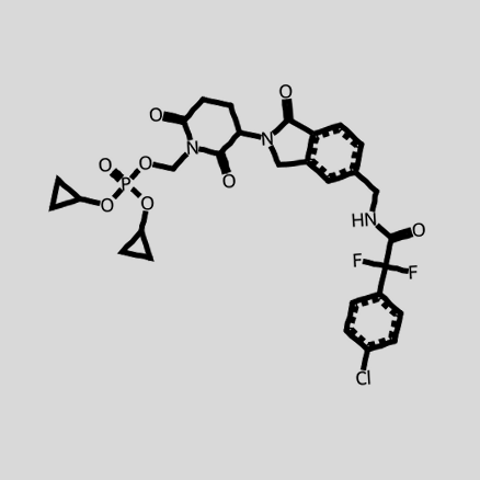 O=C1CCC(N2Cc3cc(CNC(=O)C(F)(F)c4ccc(Cl)cc4)ccc3C2=O)C(=O)N1COP(=O)(OC1CC1)OC1CC1